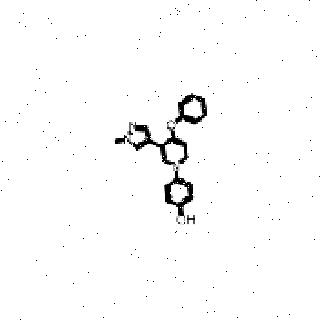 Cn1cc(C2=CN(c3ccc(O)cc3)CC=C2Oc2ccccc2)cn1